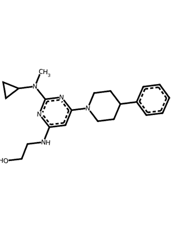 CN(c1nc(NCCO)cc(N2CCC(c3ccccc3)CC2)n1)C1CC1